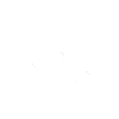 O=C(Nc1cccc2cccnc12)C1CCCN1C(=O)O